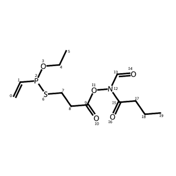 C=CP(OCC)SCCC(=O)ON(C=O)C(=O)CCC